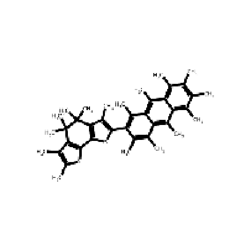 Cc1sc2c(c1C)C(C)(C)C(C)(C)c1c-2sc(-c2c(C)c(C)c3c(C)c4c(C)c(C)c(C)c(C)c4c(C)c3c2C)c1C